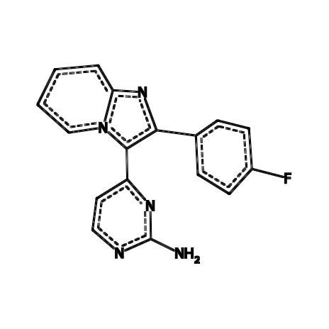 Nc1nccc(-c2c(-c3ccc(F)cc3)nc3ccccn23)n1